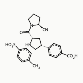 Cc1ccc(S(=O)(=O)O)cc1.N#C[C@@H]1CCCN1C(=O)[C@@H]1C[C@H](c2ccc(C(=O)O)cc2)CN1